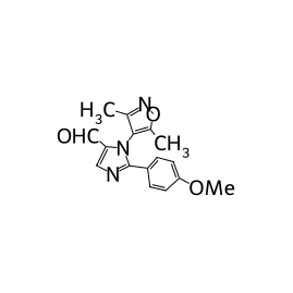 COc1ccc(-c2ncc(C=O)n2-c2c(C)noc2C)cc1